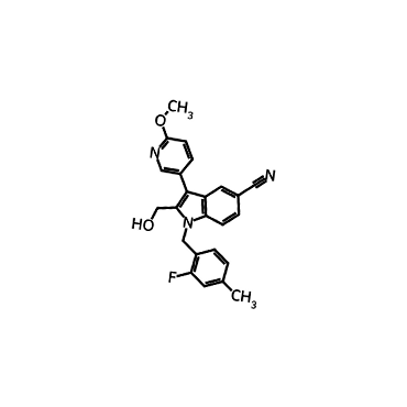 COc1ccc(-c2c(CO)n(Cc3ccc(C)cc3F)c3ccc(C#N)cc23)cn1